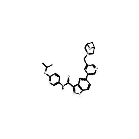 CC(C)Oc1ccc(NC(=O)c2n[nH]c3ccc(-c4cncc(CN5CC6CC(C5)O6)c4)cc23)cn1